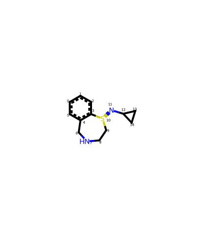 c1ccc2c(c1)CNCCS2=NC1CC1